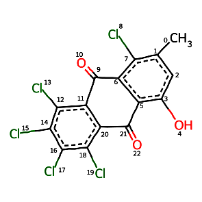 Cc1cc(O)c2c(c1Cl)C(=O)c1c(Cl)c(Cl)c(Cl)c(Cl)c1C2=O